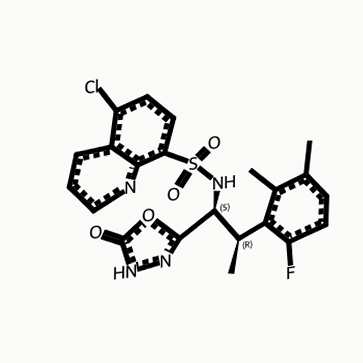 Cc1ccc(F)c([C@@H](C)[C@H](NS(=O)(=O)c2ccc(Cl)c3cccnc23)c2n[nH]c(=O)o2)c1C